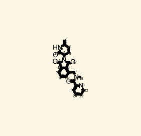 C=C1CCC(N2C(=O)c3cccc(CN(C)C(=O)c4ccccn4)c3C2=O)C(=O)N1